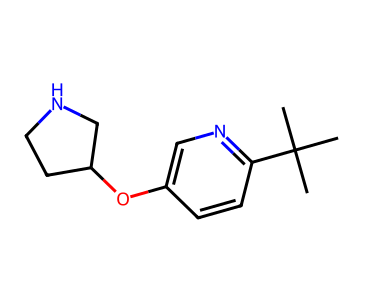 CC(C)(C)c1ccc(OC2CCNC2)cn1